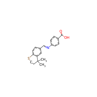 CC1(C)CCSc2ccc(C=Nc3ccc(C(=O)O)cc3)cc21